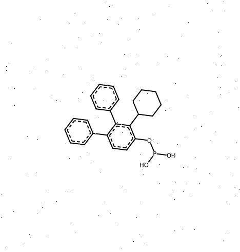 OP(O)Oc1ccc(-c2ccccc2)c(-c2ccccc2)c1C1CCCCC1